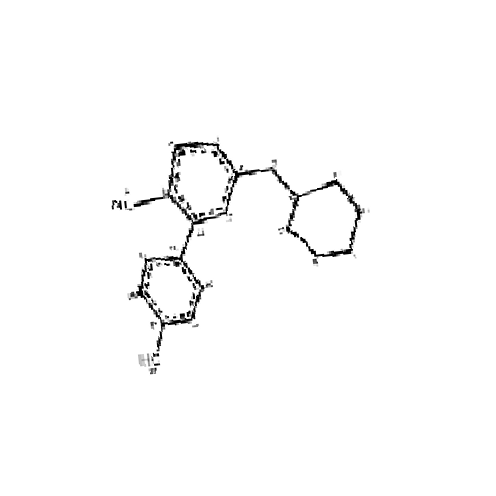 N#Cc1ccc(CC2CCCCC2)cc1-c1ccc(O)cc1